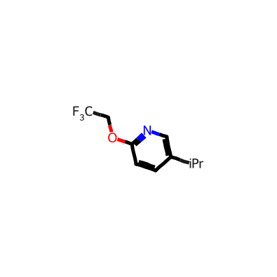 CC(C)c1ccc(OCC(F)(F)F)nc1